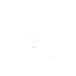 Cc1ccccc1Cn1c(=O)c2c(n3ccnc13)CCNC2